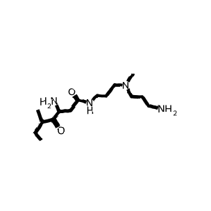 CCC(C)C(=O)C(N)CC(=O)NCCCN(C)CCCN